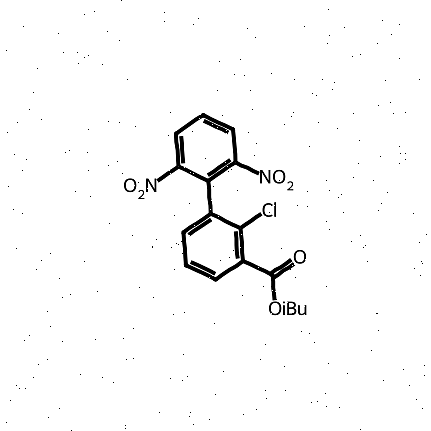 CC(C)COC(=O)c1cccc(-c2c([N+](=O)[O-])cccc2[N+](=O)[O-])c1Cl